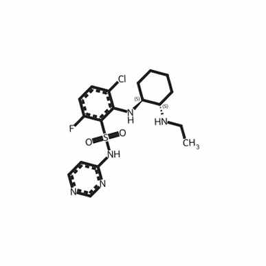 CCN[C@H]1CCCC[C@@H]1Nc1c(Cl)ccc(F)c1S(=O)(=O)Nc1ccncn1